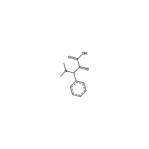 CN(C)C(C(=O)C(=O)O)c1ccccc1